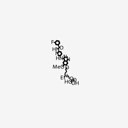 CCN(CCCOc1cc2ncnc(Nc3ccc(NC(=O)c4cccc(F)c4)nc3)c2cc1OC)CCOP(=O)(O)O